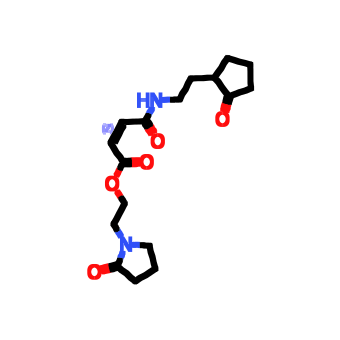 O=C(/C=C\C(=O)OCCN1CCCC1=O)NCCC1CCCC1=O